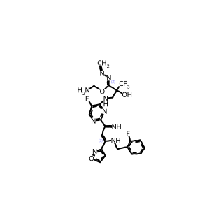 C=N/N=C(\OCN)C(O)(CNc1nc(C(=N)/C=C(\NCc2ccccc2F)c2ccon2)ncc1F)C(F)(F)F